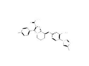 CNC(=O)c1nc2n(c1-c1ccc(F)cc1)CCCC2=Cc1ccc(-n2cnc(C)c2)c(OC)c1